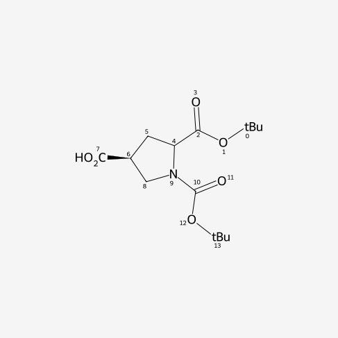 CC(C)(C)OC(=O)C1C[C@H](C(=O)O)CN1C(=O)OC(C)(C)C